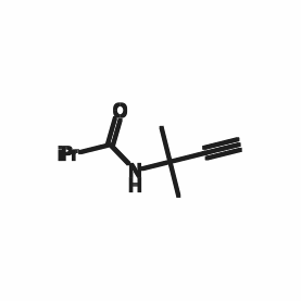 C#CC(C)(C)NC(=O)C(C)C